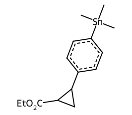 CCOC(=O)C1CC1c1cc[c]([Sn]([CH3])([CH3])[CH3])cc1